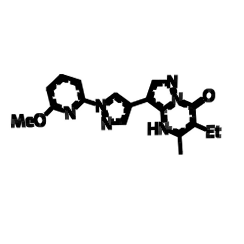 CCc1c(C)[nH]c2c(-c3cnn(-c4cccc(OC)n4)c3)cnn2c1=O